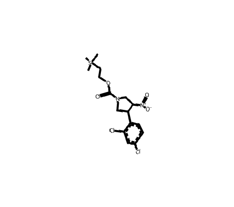 C[Si](C)(C)CCOC(=O)N1CC(c2ccc(Cl)cc2Cl)C([N+](=O)[O-])C1